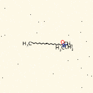 CCCCCCCCC=CCCCCCCCC(=O)[N+](C)(C)C